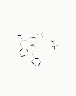 CC(C)C[C@H](CN[C@@H](Cc1cccnc1)C(=O)O)NC(=O)OCc1ccccc1.O=C(O)C(F)(F)F